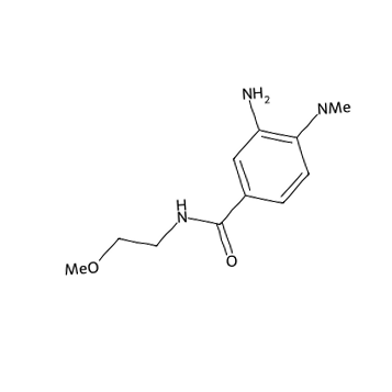 CNc1ccc(C(=O)NCCOC)cc1N